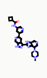 CN1CCN(c2cncc3[nH]c(-c4n[nH]c5cnc(-c6cncc(NC(=O)C7CCC7)c6)cc45)nc23)CC1